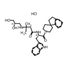 CC(C)(CC(=O)N[C@H](Cc1c[nH]c2ccccc12)C(=O)N1CCC2(CCc3ccccc32)CC1)NC[C@@H](O)CO.Cl